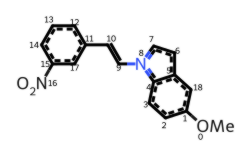 COc1ccc2c(ccn2/C=C/c2cccc([N+](=O)[O-])c2)c1